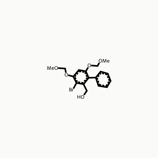 COCOc1cc(OCOC)c(-c2ccccc2)c(CO)c1Br